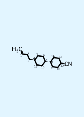 C=CCC[C@H]1CC[C@H](C2CCC(C#N)CC2)CC1